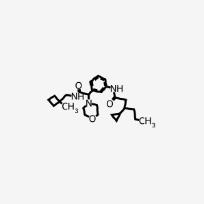 CCCC(CC(=O)Nc1cccc(C(C(=O)NCC2(C)CCC2)N2CCOCC2)c1)C1CC1